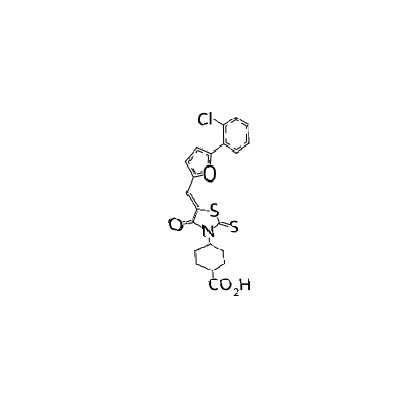 O=C(O)C1CCC(N2C(=O)C(=Cc3ccc(-c4ccccc4Cl)o3)SC2=S)CC1